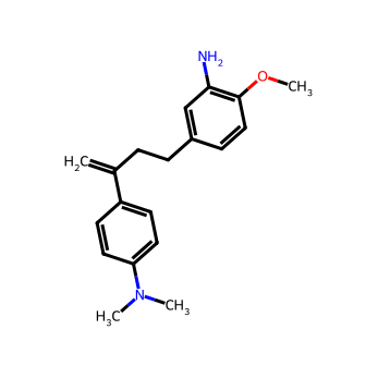 C=C(CCc1ccc(OC)c(N)c1)c1ccc(N(C)C)cc1